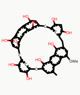 COc1cc2c(O)c3cc4c(O)c(cc(C)c4cc13)Cc1cc(c(O)cc1O)Cc1cc(O)c3cc4c(O)cc(c(O)c4cc3c1O)Cc1cc(c(O)cc1O)C2